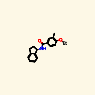 CCOc1ccc(C(=O)N[C@H]2CCc3ccccc32)cc1C